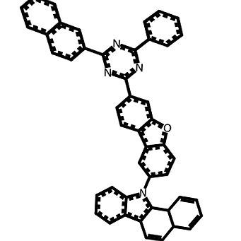 C1=CC2C=Cc3c(n(-c4ccc5oc6cc(-c7nc(-c8ccccc8)nc(-c8ccc9ccccc9c8)n7)ccc6c5c4)c4ccccc34)C2C=C1